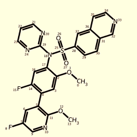 COc1cc(-c2cc(F)cnc2OC)c(F)cc1N(c1ncccn1)S(=O)(=O)c1ccc2cnccc2c1